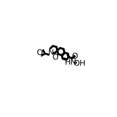 O=C(NO)c1ccc2c(c1)CCC1(CCCN(CC3COC3)C1=O)C2